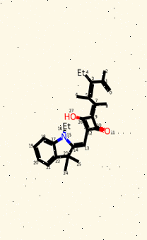 C=C(C)/C(CC)=C(C)\C(C)=C1\C(=O)C(/C=C2\N(CC)c3ccccc3C2(C)C)=C1O